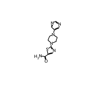 NC(=O)c1cnc(N2CCN(c3cncnc3)CC2)s1